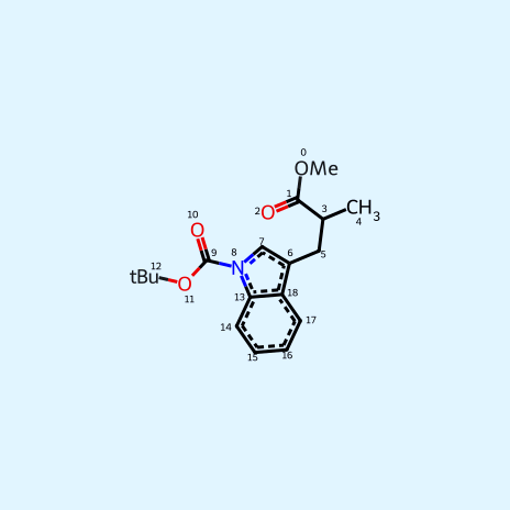 COC(=O)C(C)Cc1cn(C(=O)OC(C)(C)C)c2ccccc12